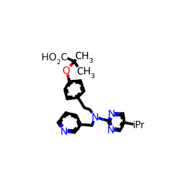 CC(C)c1cnc(N(CCc2ccc(OC(C)(C)C(=O)O)cc2)Cc2cccnc2)nc1